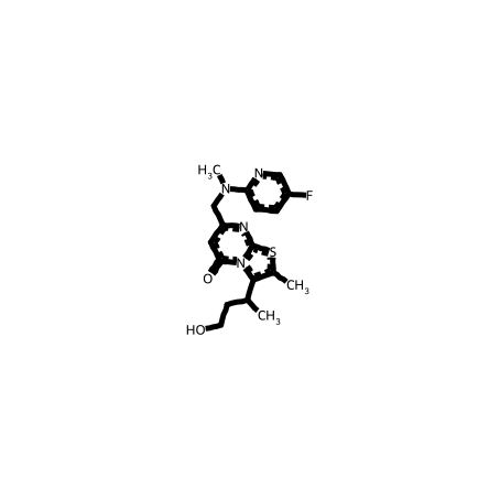 Cc1sc2nc(CN(C)c3ccc(F)cn3)cc(=O)n2c1C(C)CCO